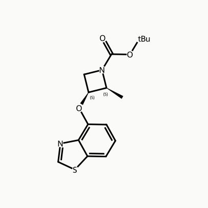 C[C@H]1[C@@H](Oc2cccc3scnc23)CN1C(=O)OC(C)(C)C